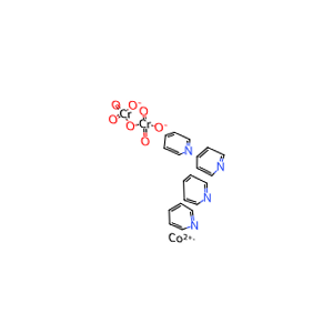 [Co+2].[O]=[Cr](=[O])([O-])[O][Cr](=[O])(=[O])[O-].c1ccncc1.c1ccncc1.c1ccncc1.c1ccncc1